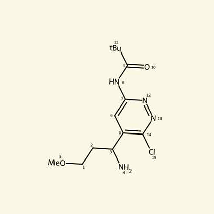 COCCC(N)c1cc(NC(=O)C(C)(C)C)nnc1Cl